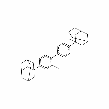 Cc1cc(C23CC4CC(CC(C4)C2)C3)ccc1-c1ccc(C23CC4CC(CC(C4)C2)C3)cc1